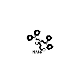 CNC(=O)CCC(=O)N(CCP(c1ccccc1)c1ccccc1)CCP(c1ccccc1)c1ccccc1